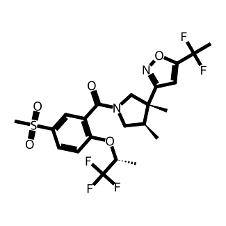 C[C@@H](Oc1ccc(S(C)(=O)=O)cc1C(=O)N1C[C@H](C)[C@@](C)(c2cc(C(C)(F)F)on2)C1)C(F)(F)F